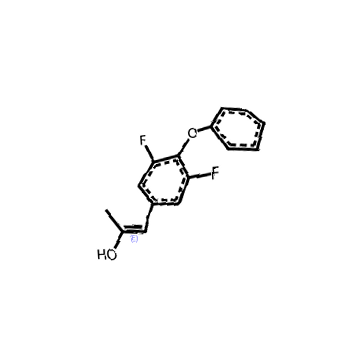 C/C(O)=C\c1cc(F)c(Oc2ccccc2)c(F)c1